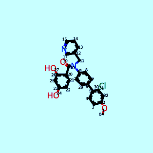 COc1ccc(-c2ccc(N(Cc3cccnc3)C(=O)c3ccc(O)cc3O)cc2)c(Cl)c1